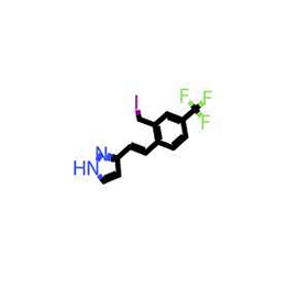 FC(F)(F)c1ccc(/C=C/c2cc[nH]n2)c(CI)c1